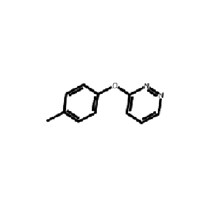 Cc1ccc(Oc2cccnn2)cc1